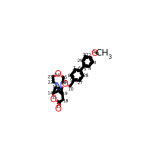 COc1ccc(-c2ccc(COC3CC4OC(=O)CC3C4N3CCOCC3)cc2)cc1